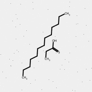 CCC(O)=S.CCCCCCCCCCCCC